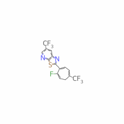 FC1=CCC(C(F)(F)F)=CC=C1c1nc2cc(C(F)(F)F)cnc2s1